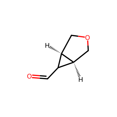 O=CC1[C@H]2COC[C@@H]12